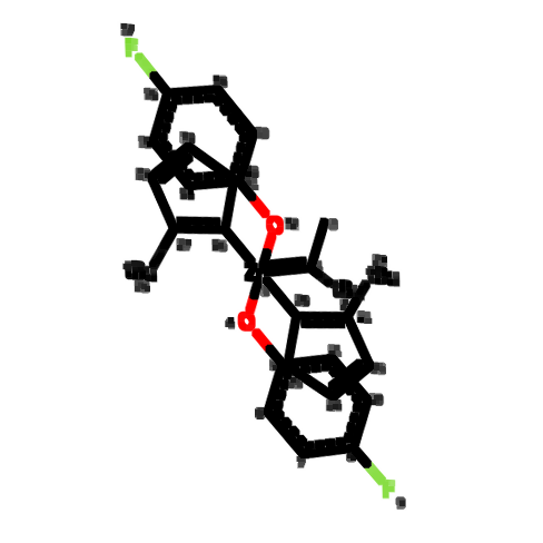 C[C](C(C)(C)C)=[Zr]([O]c1ccc(F)cc1)([O]c1ccc(F)cc1)([C]1=C(C(C)(C)C)C=CC1)[C]1=C(C(C)(C)C)C=CC1